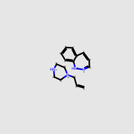 C1=Cc2ccccc2NN=C1.C=CCN1CCNCC1